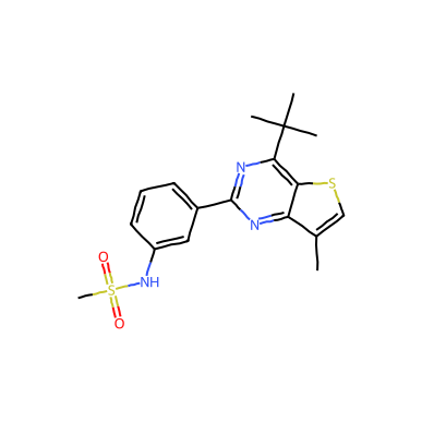 Cc1csc2c(C(C)(C)C)nc(-c3cccc(NS(C)(=O)=O)c3)nc12